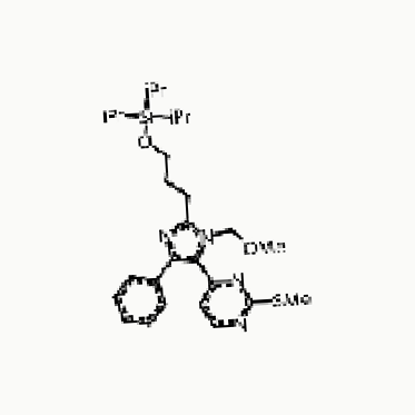 COCn1c(CCCO[Si](C(C)C)(C(C)C)C(C)C)nc(-c2ccccc2)c1-c1ccnc(SC)n1